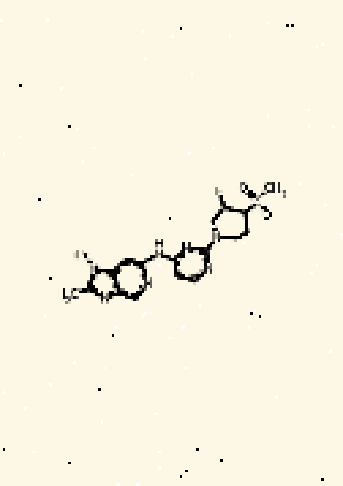 Cc1nc2cnc(Nc3ccnc(N4CCC(S(C)(=O)=O)C(F)C4)n3)cc2n1C(C)C